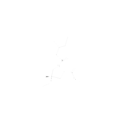 CCC(C)CC(=O)N1C[C@@](I)(OC)C[C@H]1C(N)=O